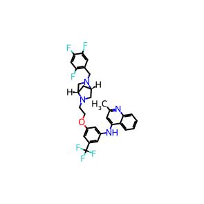 Cc1cc(Nc2cc(OCCN3C[C@@H]4C[C@H]3CN4Cc3cc(F)c(F)cc3F)cc(C(F)(F)F)c2)c2ccccc2n1